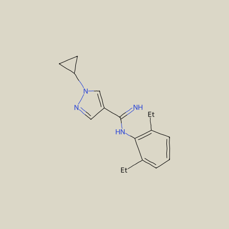 CCc1cccc(CC)c1NC(=N)c1cnn(C2CC2)c1